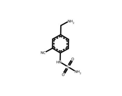 N#Cc1cc(CN)ccc1NS(N)(=O)=O